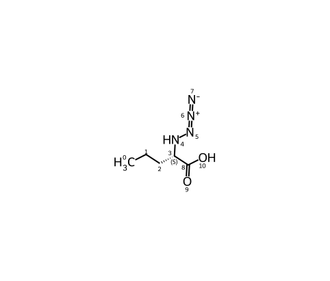 CCC[C@H](NN=[N+]=[N-])C(=O)O